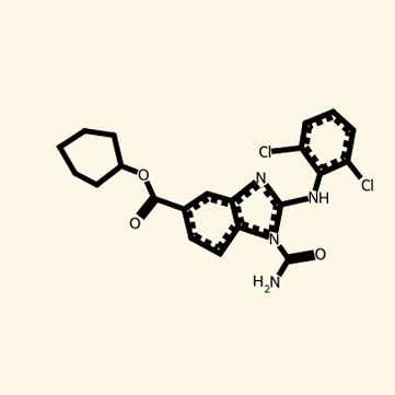 NC(=O)n1c(Nc2c(Cl)cccc2Cl)nc2cc(C(=O)OC3CCCCC3)ccc21